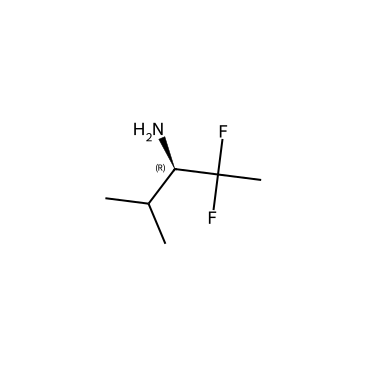 CC(C)[C@@H](N)C(C)(F)F